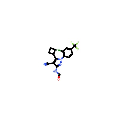 N#Cc1c(NC=O)nn(-c2ccc(C(F)(F)F)cc2Cl)c1C1CCC1